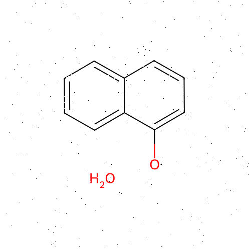 O.[O]c1cccc2ccccc12